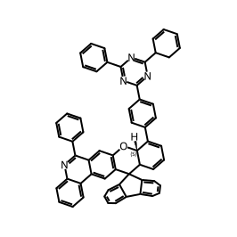 C1=CCC(c2nc(-c3ccccc3)nc(-c3ccc(C4=CC=CC5[C@@H]4Oc4cc6c(-c7ccccc7)nc7ccccc7c6cc4C54c5ccccc5-c5ccccc54)cc3)n2)C=C1